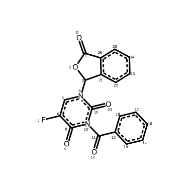 O=C1OC(n2cc(F)c(=O)n(C(=O)c3ccccc3)c2=O)c2ccccc21